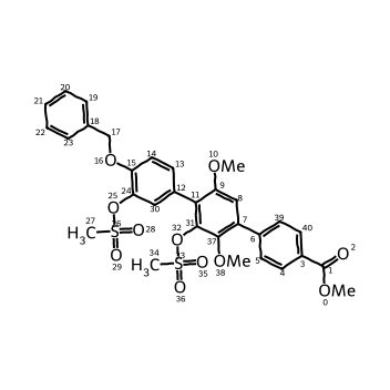 COC(=O)c1ccc(-c2cc(OC)c(-c3ccc(OCc4ccccc4)c(OS(C)(=O)=O)c3)c(OS(C)(=O)=O)c2OC)cc1